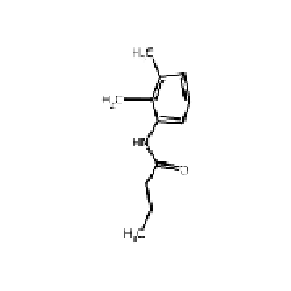 [CH2]c1c(C)cccc1NC(=O)CCC